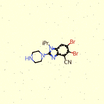 CC(C)n1c(N2CCNCC2)nc2c(C#N)c(Br)c(Br)cc21